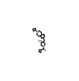 O=C(C1CCC1)N1CCC(O)(Cc2ccc3c(c2)CCN(C2CCC2)CC3)CC1